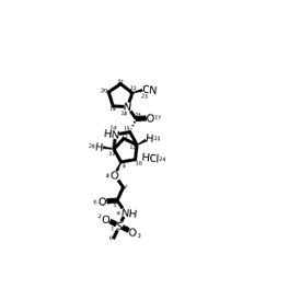 CS(=O)(=O)NC(=O)CO[C@@H]1C[C@@H]2C[C@H]1N[C@@H]2C(=O)N1CCC[C@H]1C#N.Cl